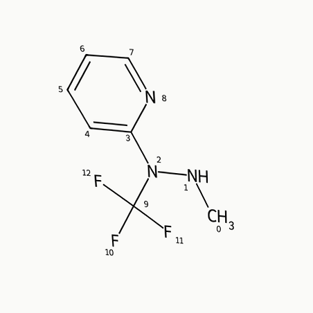 CNN(c1ccccn1)C(F)(F)F